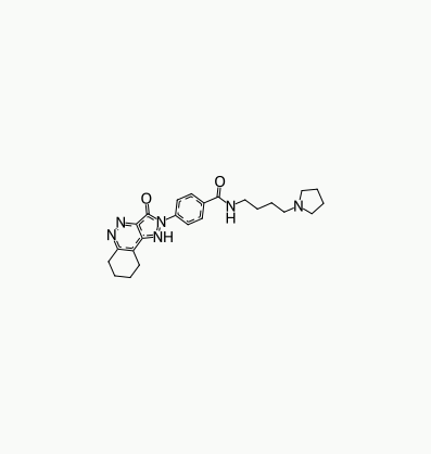 O=C(NCCCCN1CCCC1)c1ccc(-n2[nH]c3c4c(nnc3c2=O)CCCC4)cc1